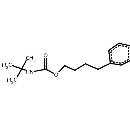 CC(C)(C)NC(=O)OCCCCc1ccccc1